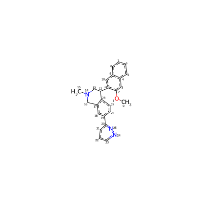 COc1cc2ccccc2cc1C1CN(C)Cc2cc(-c3cccnn3)ccc21